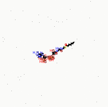 C=CCCC=CC(=O)SCCNC(=O)CCNC(=O)C(O)C(C)(C)COP(=O)(O)OP(=O)(O)OC[C@H]1O[C@@H](n2cnc3c(N)ncnc32)[C@H](O)[C@@H]1OP(=O)(O)O